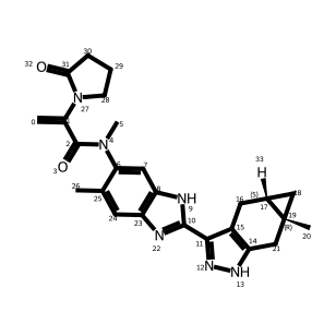 C=C(C(=O)N(C)c1cc2[nH]c(-c3n[nH]c4c3C[C@@H]3C[C@]3(C)C4)nc2cc1C)N1CCCC1=O